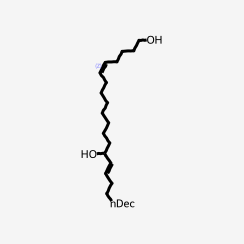 CCCCCCCCCCCCC=C[C](O)CCCCCCC/C=C\CCCCO